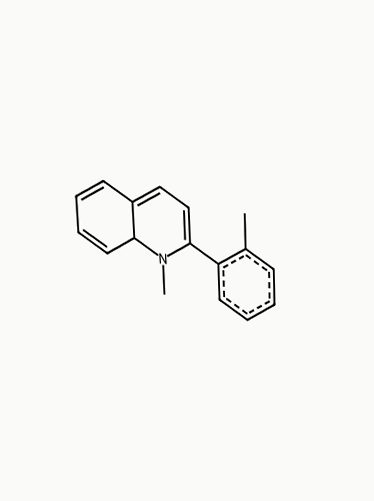 Cc1ccccc1C1=CC=C2C=CC=CC2N1C